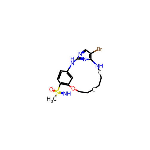 CS(=N)(=O)c1ccc2cc1OCCCCCCNc1nc(ncc1Br)N2